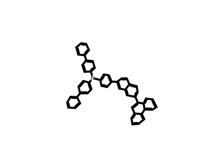 c1ccc(-c2ccc(N(c3ccc(-c4ccccc4)cc3)c3ccc(-c4ccc5ccc(-c6cc7ccccc7c7ccccc67)cc5c4)cc3)cc2)cc1